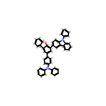 c1ccc(N(c2ccccc2)c2ccc(-c3cc(-c4ccc5c(c4)c4ccccc4n5-c4ccccc4)c4oc5ccccc5c4c3)cc2)cc1